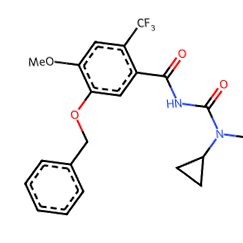 COc1cc(C(F)(F)F)c(C(=O)NC(=O)N(C)C2CC2)cc1OCc1ccccc1